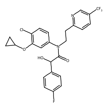 O=C(C(O)c1ccc(F)cc1)N(CCc1ccc(C(F)(F)F)cn1)c1ccc(Cl)c(OC2CC2)c1